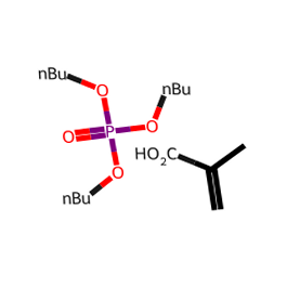 C=C(C)C(=O)O.CCCCOP(=O)(OCCCC)OCCCC